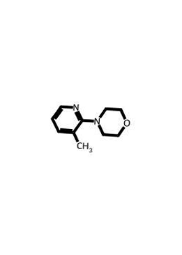 Cc1cccnc1N1CCOCC1